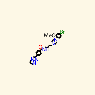 COc1cc(Br)ccc1N1CCN(CCCCNC(=O)c2ccc(-c3cn4cccnc4n3)cc2)CC1